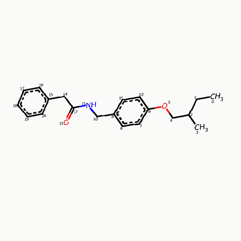 CCC(C)COc1ccc(CNC(=O)Cc2ccccc2)cc1